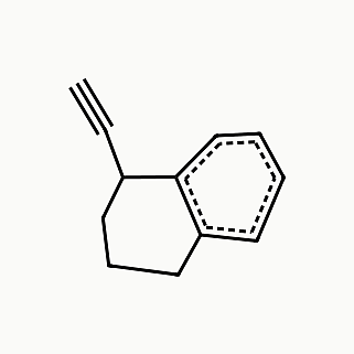 C#CC1CCCc2ccccc21